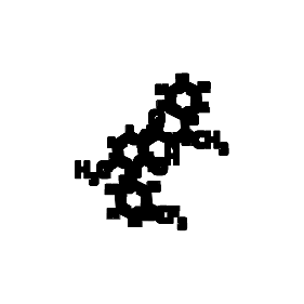 Cc1ccc(C(=O)N[C@H](C)c2ccccc2)c(=O)n1-c1cccc(C(F)(F)F)c1